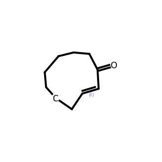 O=C1/C=C/CCCCCCC1